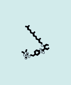 C/C=C(OC/C=C(\C)CC/C=C(\C)CCC=C(C)C)\C(=C/C)C(=O)Nc1ccc(CCOP(=O)(OCC)OCC)cc1